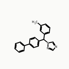 Cc1cccc(C(c2ccc(-c3ccccc3)cc2)n2cncn2)c1